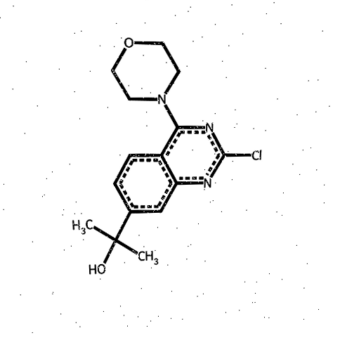 CC(C)(O)c1ccc2c(N3CCOCC3)nc(Cl)nc2c1